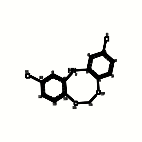 Clc1ccc2c(c1)Nc1cc(Cl)ccc1OCO2